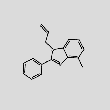 C=CCn1c(-c2ccccc2)nc2c(C)cccc21